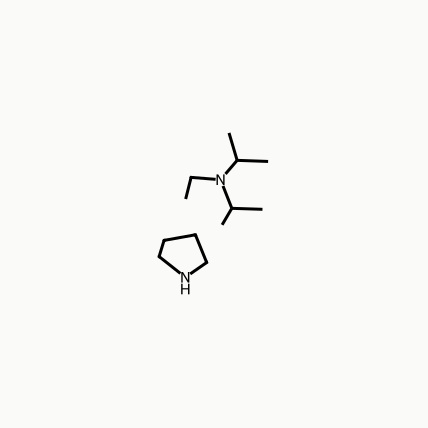 C1CCNC1.CCN(C(C)C)C(C)C